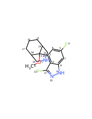 COC1(c2cc(F)cc3[nH]nc(F)c23)C2CCCC1CNC2